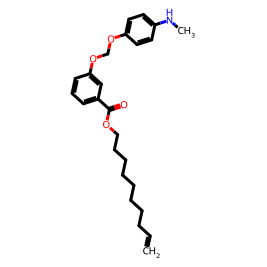 C=CCCCCCCCCOC(=O)c1cccc(OCOc2ccc(NC)cc2)c1